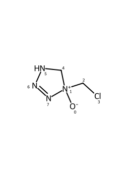 [O-][N+]1(CCl)CNN=N1